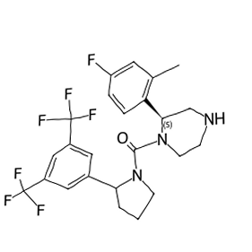 Cc1cc(F)ccc1[C@H]1CNCCN1C(=O)N1CCCC1c1cc(C(F)(F)F)cc(C(F)(F)F)c1